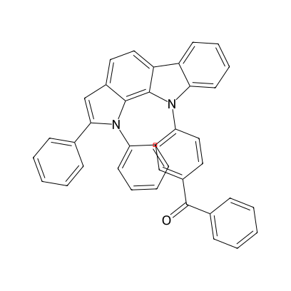 O=C(c1ccccc1)c1ccc(-n2c3ccccc3c3ccc4cc(-c5ccccc5)n(-c5ccccc5)c4c32)cc1